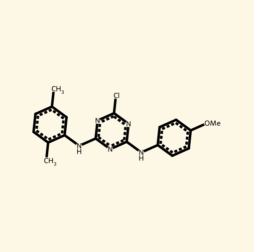 COc1ccc(Nc2nc(Cl)nc(Nc3cc(C)ccc3C)n2)cc1